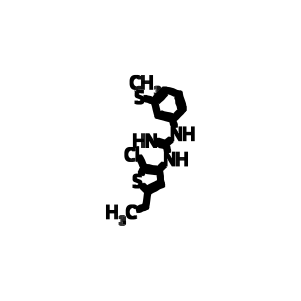 CCc1cc(NC(=N)Nc2cccc(SC)c2)c(Cl)s1